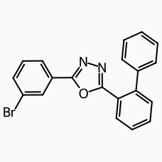 Brc1cccc(-c2nnc(-c3ccccc3-c3ccccc3)o2)c1